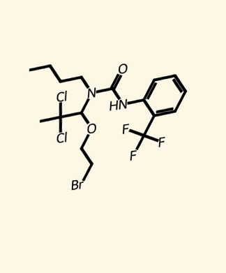 CCCCN(C(=O)Nc1ccccc1C(F)(F)F)C(OCCBr)C(C)(Cl)Cl